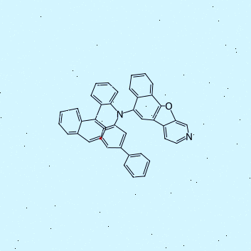 c1ccc(-c2cccc(N(c3ccccc3-c3cccc4ccccc34)c3cc4c5ccncc5oc4c4ccccc34)c2)cc1